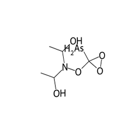 CC(O)N(OC1([AsH2])OO1)C(C)O